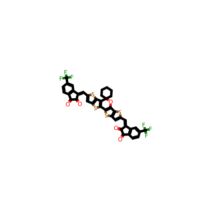 O=C1C(=O)c2ccc(C(F)(F)F)cc2/C1=C/c1cc2sc3c(c2s1)OC1(CCCCC1)c1c-3sc2cc(/C=C3\C(=O)C(=O)c4ccc(C(F)(F)F)cc43)sc12